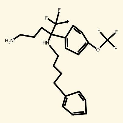 NCCCC(NCCCCc1ccccc1)(c1ccc(OC(F)(F)F)cc1)C(F)(F)F